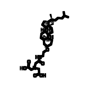 CC(C)CCC[C@@H](C)[C@H]1CC[C@H]2[C@@H]3CC=C4C[C@@H](OCCNC(=O)CN(CC(=O)O)CC(=O)O)CC[C@]4(C)[C@H]3CC[C@]12C